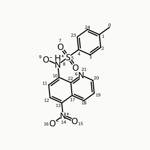 Cc1ccc(S(=O)(=O)[NH+]([O-])c2ccc([N+](=O)[O-])c3cccnc23)cc1